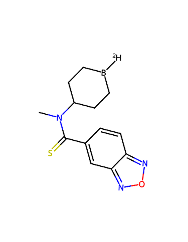 [2H]B1CCC(N(C)C(=S)c2ccc3nonc3c2)CC1